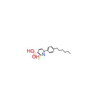 CCCCCCc1ccc(-c2ccc(B(O)O)c(F)n2)cc1